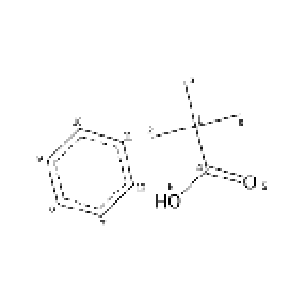 CC(C)(C)C(=O)O.c1ccccc1